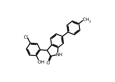 Cc1ccc(-c2ccc3c(c2)NC(=O)C3c2cc(Cl)ccc2O)cc1